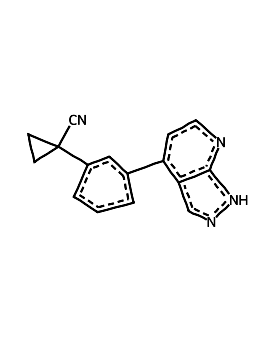 N#CC1(c2cccc(-c3ccnc4[nH]ncc34)c2)CC1